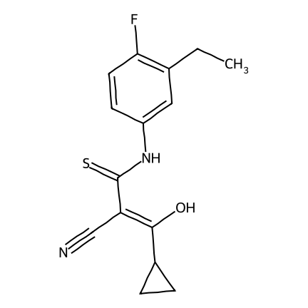 CCc1cc(NC(=S)C(C#N)=C(O)C2CC2)ccc1F